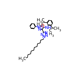 CCCCCCCCCCCCn1nnc(C(=NNc2ccccc2)C(=O)Nc2c(C(C)C)cccc2C(C)C)n1